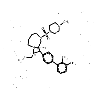 COC[C@@H]1C(c2ccc(-c3cccc(C)c3C)cc2)[C@@H]2CN(S(=O)(=O)N3CCN(C)CC3)CCCCN12